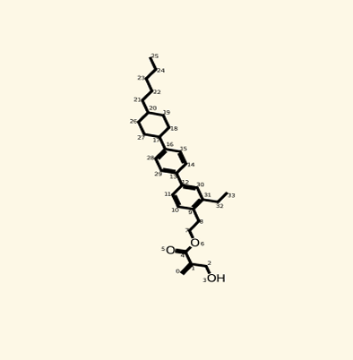 C=C(CO)C(=O)OCCc1ccc(-c2ccc(C3CCC(CCCCC)CC3)cc2)cc1CC